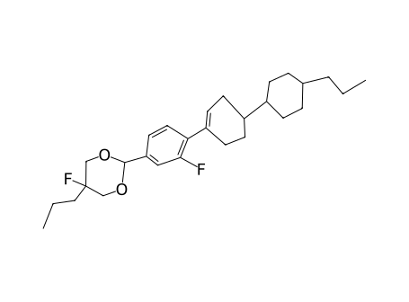 CCCC1CCC(C2CC=C(c3ccc(C4OCC(F)(CCC)CO4)cc3F)CC2)CC1